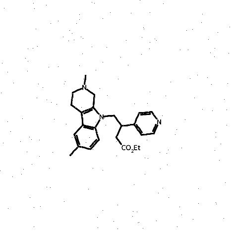 CCOC(=O)CC(Cn1c2c(c3cc(C)ccc31)CCN(C)C2)c1ccncc1